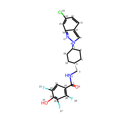 O=C(NC[C@H]1CC[C@H](n2cc3ccc(Cl)cc3n2)CC1)c1cc(F)c(O)c(F)c1F